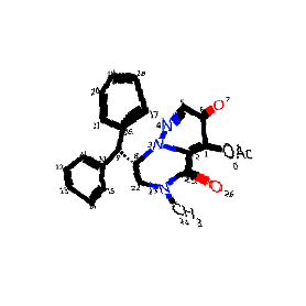 CC(=O)Oc1c2n(ncc1=O)[C@@H](C(c1ccccc1)c1ccccc1)CN(C)C2=O